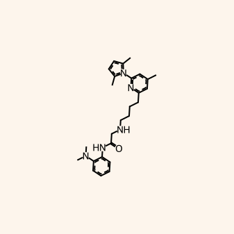 Cc1cc(CCCCNCC(=O)Nc2ccccc2N(C)C)nc(-n2c(C)ccc2C)c1